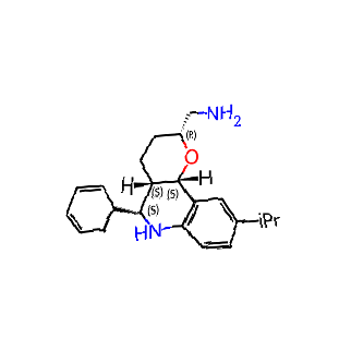 CC(C)c1ccc2c(c1)[C@H]1O[C@@H](CN)CC[C@H]1[C@H](C1C=CC=CC1)N2